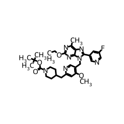 CCOc1nc(C)c2nc(-c3cncc(F)c3)n(Cc3cnc(CC4CCN(C(=O)OC(C)(C)C)CC4)cc3OC)c2n1